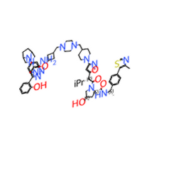 Cc1ncsc1-c1ccc([C@H](C)NC(=O)[C@@H]2C[C@@H](O)CN2C(=O)[C@@H](c2cc(N3CCC(CN4CCN(CC5CC(Oc6cc(N7C8CCC7CN(c7cc(-c9ccccc9O)nnc7N)C8)ccn6)C5)CC4)CC3)no2)C(C)C)cc1